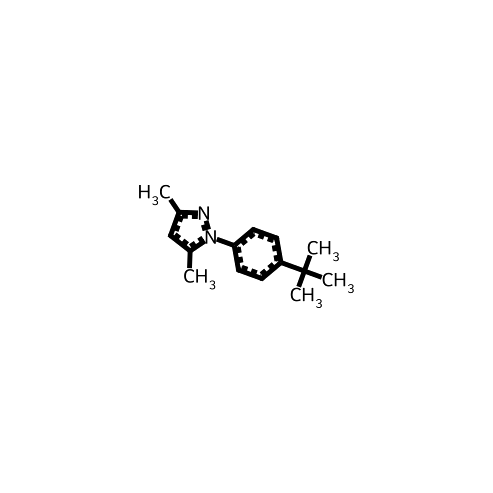 Cc1cc(C)n(-c2ccc(C(C)(C)C)cc2)n1